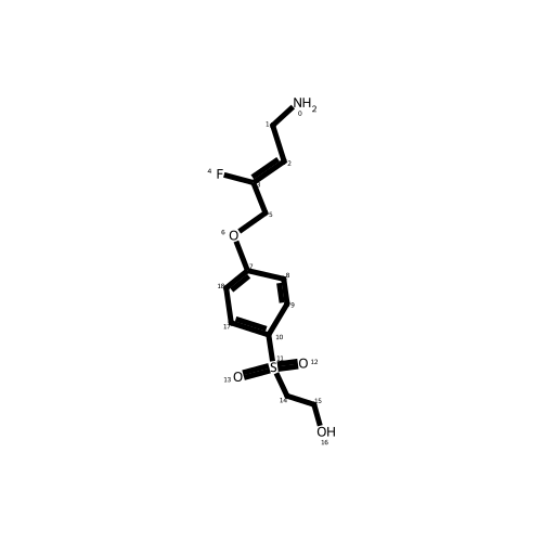 NCC=C(F)COc1ccc(S(=O)(=O)CCO)cc1